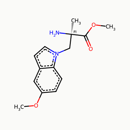 COC(=O)[C@](C)(N)Cn1ccc2cc(OC)ccc21